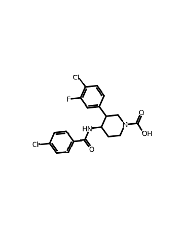 O=C(NC1CCN(C(=O)O)CC1c1ccc(Cl)c(F)c1)c1ccc(Cl)cc1